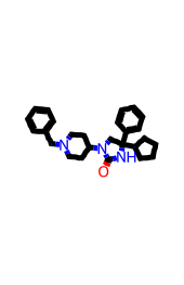 O=C1NC(c2ccccc2)(C2CCCC2)CN1C1CCN(Cc2ccccc2)CC1